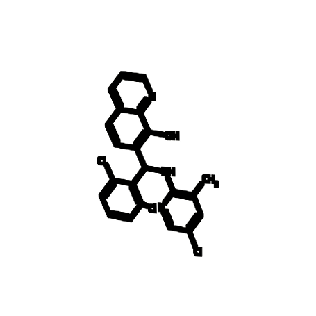 Cc1cc(Cl)cnc1NC(c1ccc2cccnc2c1O)c1c(Cl)cccc1Cl